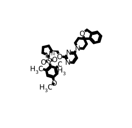 COc1cc(C)c(S(=O)(=O)N2CCC[C@H]2COc2nccc(N3CCC4(CC3)OCc3ccccc34)n2)c(C)c1